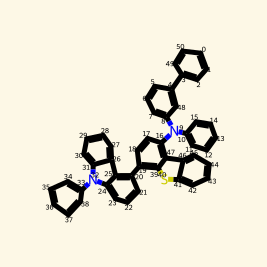 c1ccc(-c2cccc(N(c3ccccc3)c3ccc(-c4cccc5c4c4ccccc4n5-c4ccccc4)c4sc5ccccc5c34)c2)cc1